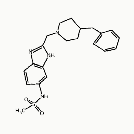 CS(=O)(=O)Nc1ccc2nc(CN3CCC(Cc4ccccc4)CC3)[nH]c2c1